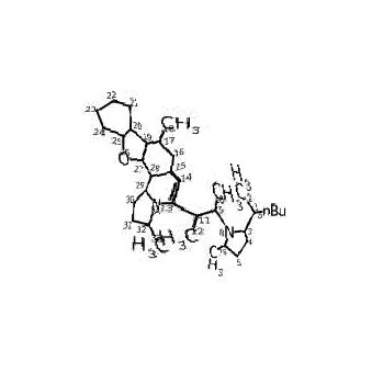 CCCCC(C)C1CCC(C)N1C(C)C(C)C1=CC2CC(C)C3C4CCCCC4OC3C2C2CCC(C)N12